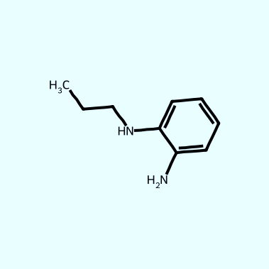 CCCNc1ccccc1N